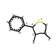 CC1CSC(c2ccccc2)C1C